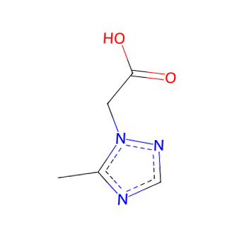 Cc1ncnn1CC(=O)O